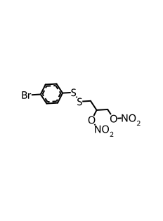 O=[N+]([O-])OCC(CSSc1ccc(Br)cc1)O[N+](=O)[O-]